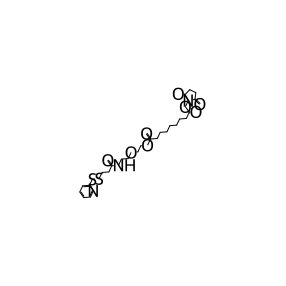 O=C(CCSSc1ccccn1)NCCOCCOC(=O)CCCCCCCC(=O)ON1C(=O)CCC1=O